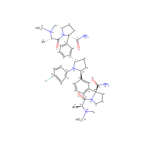 CC(C)[C@@H](C(=O)N1CCC[C@@]1(C(N)=O)c1cccc([C@@H]2CC[C@@H](c3cccc([C@]4(C(N)=O)CCCN4C(=O)[C@H](C(C)C)N(C)C(=O)O)c3)N2c2ccc(F)cc2)c1)N(C)C(=O)O